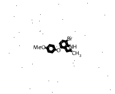 COc1ccc(Oc2ccc(Br)c3[nH]c(C)cc23)cc1